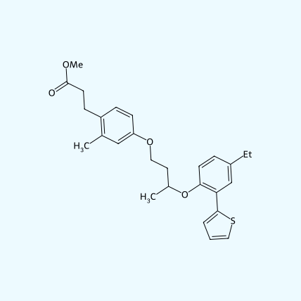 CCc1ccc(OC(C)CCOc2ccc(CCC(=O)OC)c(C)c2)c(-c2cccs2)c1